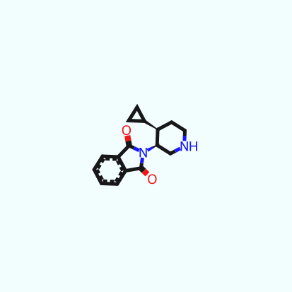 O=C1c2ccccc2C(=O)N1[C@@H]1CNCC[C@@H]1C1CC1